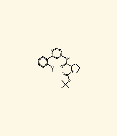 COc1ccccc1-c1cc(NC(=O)C2CCCN2C(=O)OC(C)(C)C)ncn1